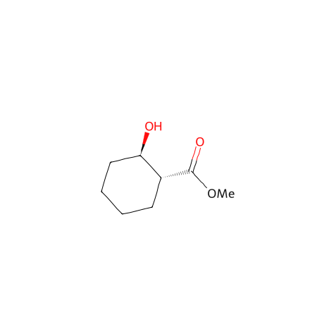 COC(=O)[C@@H]1CCCC[C@H]1O